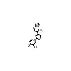 C=C(/C=N\NC)c1cccc(-n2ccc(=O)c(O)c2)c1